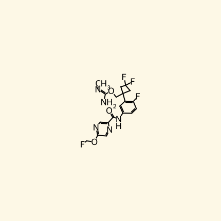 C/N=C(/N)OCC1(c2cc(NC(=O)c3cnc(OCF)cn3)ccc2F)CC(F)(F)C1